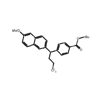 CCCCOC(=O)c1ccc(C(CCC(F)(F)F)c2ccc3cc(OC)ccc3c2)cc1